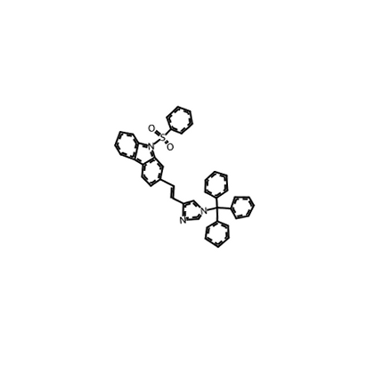 O=S(=O)(c1ccccc1)n1c2ccccc2c2ccc(C=Cc3cn(C(c4ccccc4)(c4ccccc4)c4ccccc4)cn3)cc21